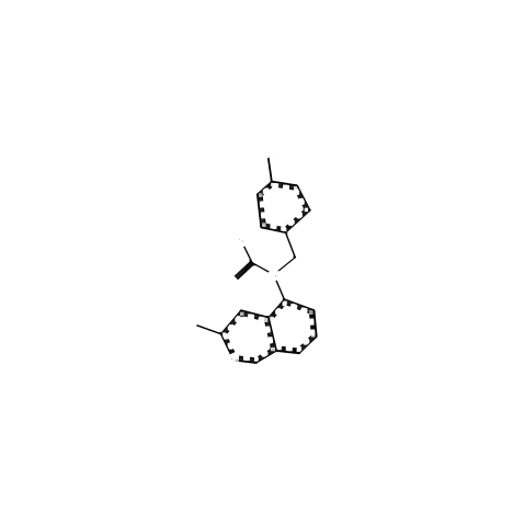 Cc1cc2c(N(Cc3ccc(C(F)(F)F)cc3)C(N)=O)cccc2cn1